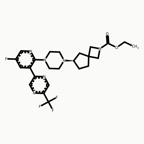 CCOC(=O)N1CC2(CC[C@@H](N3CCN(c4ncc(F)cc4-c4cnc(C(F)(F)F)cn4)CC3)C2)C1